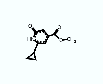 COC(=O)c1cc(C2CC2)[nH]c(=O)c1